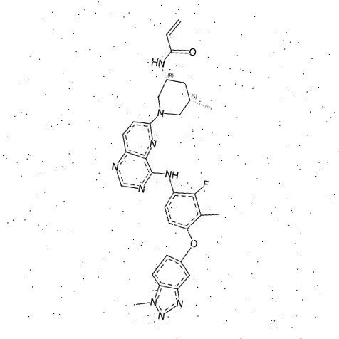 C=CC(=O)N[C@@H]1C[C@H](C)CN(c2ccc3ncnc(Nc4ccc(Oc5ccc6c(c5)nnn6C)c(C)c4F)c3n2)C1